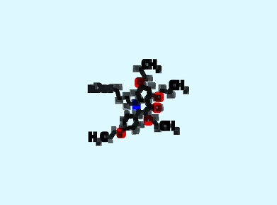 C=CCOc1ccc(-c2c(OCC=C)c(=O)c3c(OCC=C)cc(OCC=C)cc3n2CCCCCCCCCCCCCC)cc1